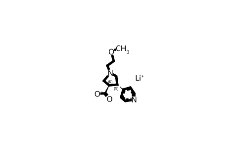 COCCN1C[C@H](C(=O)[O-])[C@@H](c2ccncc2)C1.[Li+]